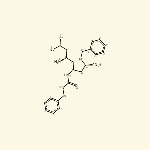 CCC(CC)C[C@H](N)[C@H]1[C@H](NC(=O)OCc2ccccc2)C[C@H](C(=O)O)N1Cc1ccccc1